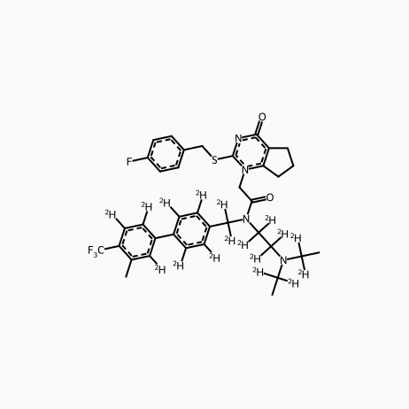 [2H]c1c([2H])c(C([2H])([2H])N(C(=O)Cn2c(SCc3ccc(F)cc3)nc(=O)c3c2CCC3)C([2H])([2H])C([2H])([2H])N(C([2H])([2H])C)C([2H])([2H])C)c([2H])c([2H])c1-c1c([2H])c([2H])c(C(F)(F)F)c(C)c1[2H]